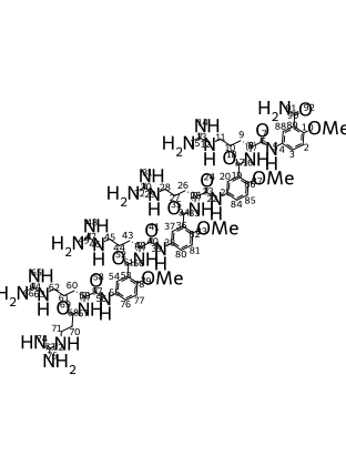 COc1ccc(NC(=O)[C@@H](CCCNC(=N)N)NC(=O)c2cc(NC(=O)[C@@H](CCCNC(=N)N)NC(=O)c3cc(NC(=O)[C@@H](CCCNC(=N)N)NC(=O)c4cc(NC(=O)[C@@H](CCCNC(=N)N)NC(=O)CCNC(=N)N)ccc4OC)ccc3OC)ccc2OC)cc1C(N)=O